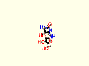 O=c1nc(N[C@@H]2O[C@H](CO)[C@H](O)[C@H]2O)cc[nH]1